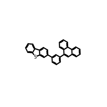 c1cc(-c2ccc3c(c2)sc2ccccc23)cc(-c2cc3ccccc3c3ccccc23)c1